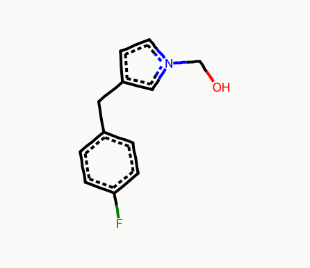 OCn1ccc(Cc2ccc(F)cc2)c1